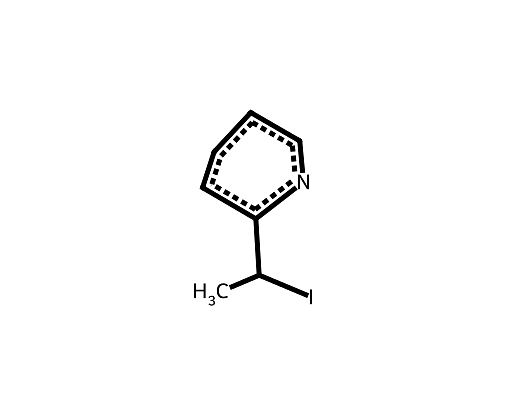 CC(I)c1ccccn1